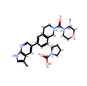 Cc1c[nH]c2ncc(-c3cc4c(c([C@@H]5CCCN5C(=O)O)c3)CN(C(=O)N3CCOC[C@H]3C)CC4)cc12